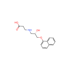 O=C(O)CCNC[C@H](O)COc1cccc2ccccc12